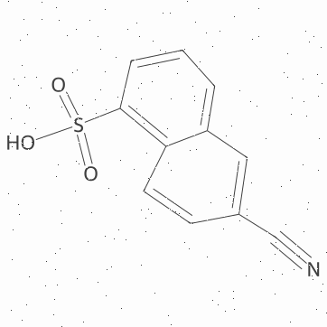 N#Cc1ccc2c(S(=O)(=O)O)cccc2c1